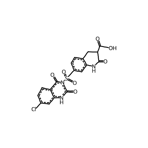 O=C(O)C1Cc2ccc(S(=O)(=O)n3c(=O)[nH]c4cc(Cl)ccc4c3=O)cc2NC1=O